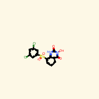 O=c1[nH]c2c(S(=O)(=O)c3cc(Cl)cc(Cl)c3)cccc2c(=O)n1O